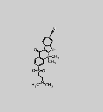 CN(C)CCS(=O)(=O)c1ccc2c(c1)C(C)(C)c1[nH]c3cc(C#N)ccc3c1C2=O